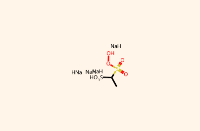 CC(S(=O)(=O)O)S(=O)(=O)OO.[NaH].[NaH].[NaH].[NaH]